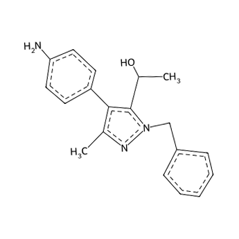 Cc1nn(Cc2ccccc2)c(C(C)O)c1-c1ccc(N)cc1